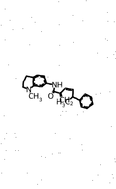 C=C(/C=C\C(C)c1ccccc1)C(=O)Nc1ccc2c(c1)N(C)CCC2